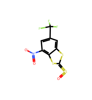 O=S=c1sc2cc(C(F)(F)F)cc([N+](=O)[O-])c2s1